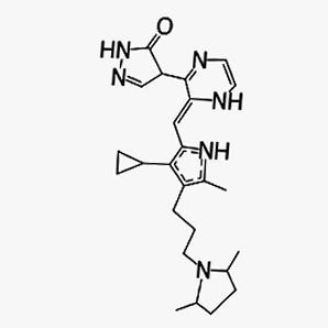 Cc1[nH]c(C=C2NC=CN=C2C2C=NNC2=O)c(C2CC2)c1CCCN1C(C)CCC1C